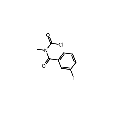 CN(C(=O)Cl)C(=O)c1cccc(I)c1